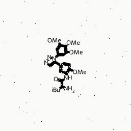 CCC(C)C(N)C(=O)Nc1cc(-c2cnnn2-c2cc(OC)c(OC)c(OC)c2)ccc1OC